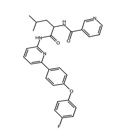 CC(C)CC(NC(=O)c1cccnc1)C(=O)Nc1cccc(-c2ccc(Oc3ccc(F)cc3)cc2)n1